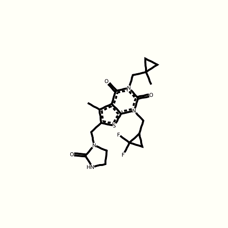 Cc1c(CN2CCNC2=O)sc2c1c(=O)n(CC1(C)CC1)c(=O)n2CC1CC1(F)F